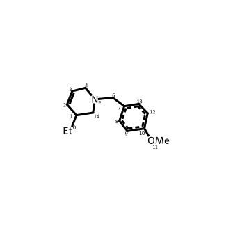 CCC1C=CCN(Cc2ccc(OC)cc2)C1